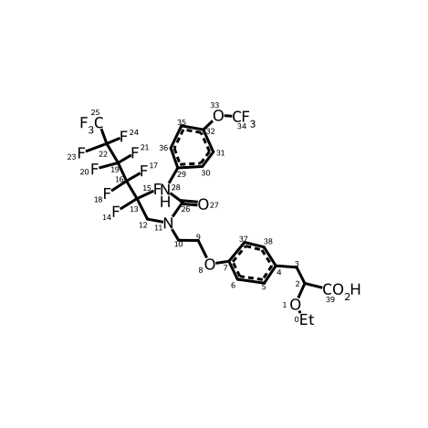 CCOC(Cc1ccc(OCCN(CC(F)(F)C(F)(F)C(F)(F)C(F)(F)C(F)(F)F)C(=O)Nc2ccc(OC(F)(F)F)cc2)cc1)C(=O)O